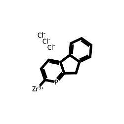 [Cl-].[Cl-].[Cl-].[Zr+3][c]1ccc2c(p1)Cc1ccccc1-2